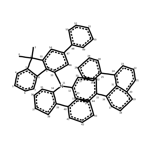 CC1(C)c2ccccc2-c2c(N(c3ccc(-c4cccc5cccc(-c6ccccc6)c45)cc3)c3ccccc3-c3ccccc3)cc(-c3ccccc3)cc21